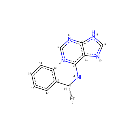 CC[C@@H](Nc1ncnc2[nH]cnc12)c1ccccc1